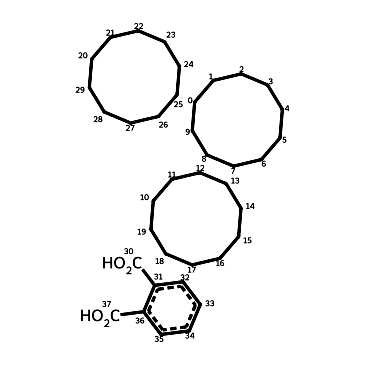 C1CCCCCCCCC1.C1CCCCCCCCC1.C1CCCCCCCCC1.O=C(O)c1ccccc1C(=O)O